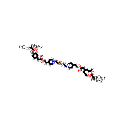 C#CC/C(=C\C=C(/C)OC(=O)C(CCCCCC)CCCCCCCC)CC(=O)OCCC1CCN(CCSSCCN2CCC(CCOC(=O)Cc3ccc(OC(=O)C(CCCCCC)CCCCCCCC)cc3)CC2)CC1